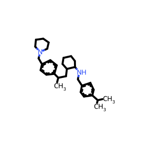 CC(C)c1ccc(CNC2CCCCC2CC(C)c2ccc(CN3CCCCC3)cc2)cc1